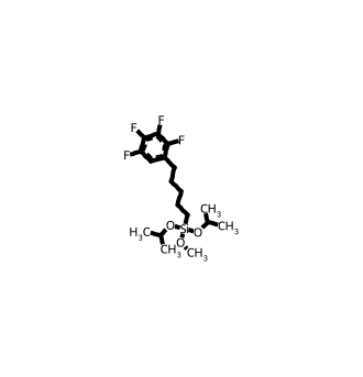 CO[Si](CCCCCc1cc(F)c(F)c(F)c1F)(OC(C)C)OC(C)C